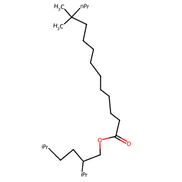 CCCC(C)(C)CCCCCCCCCC(=O)OCC(CCC(C)C)C(C)C